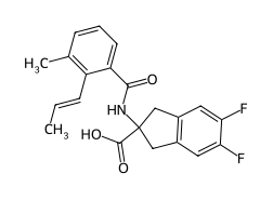 CC=Cc1c(C)cccc1C(=O)NC1(C(=O)O)Cc2cc(F)c(F)cc2C1